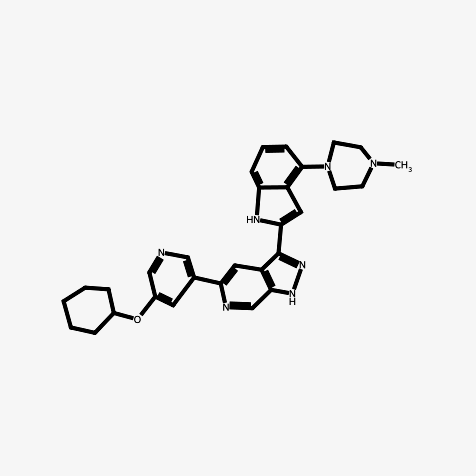 CN1CCN(c2cccc3[nH]c(-c4n[nH]c5cnc(-c6cncc(OC7CCCCC7)c6)cc45)cc23)CC1